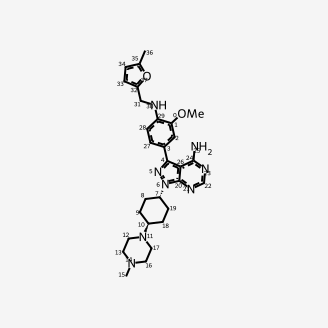 COc1cc(-c2nn([C@H]3CC[C@H](N4CCN(C)CC4)CC3)c3ncnc(N)c23)ccc1NCc1ccc(C)o1